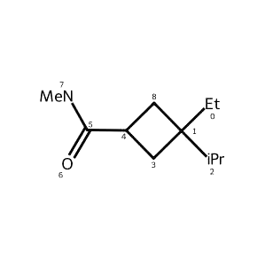 CCC1(C(C)C)CC(C(=O)NC)C1